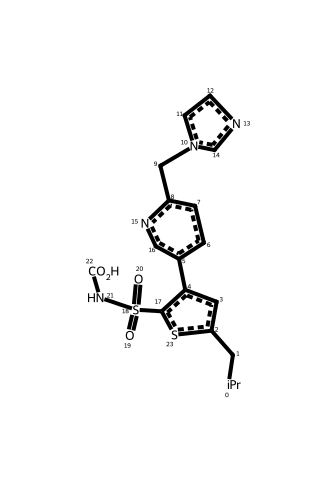 CC(C)Cc1cc(-c2ccc(Cn3ccnc3)nc2)c(S(=O)(=O)NC(=O)O)s1